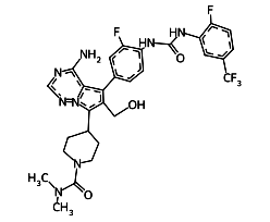 CN(C)C(=O)N1CCC(c2c(CO)c(-c3ccc(NC(=O)Nc4cc(C(F)(F)F)ccc4F)c(F)c3)c3c(N)ncnn23)CC1